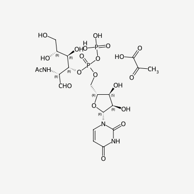 CC(=O)C(=O)O.CC(=O)N[C@@H](C=O)[C@@H](OP(=O)(OC[C@H]1O[C@@H](n2ccc(=O)[nH]c2=O)[C@H](O)[C@@H]1O)OP(=O)(O)O)[C@H](O)[C@H](O)CO